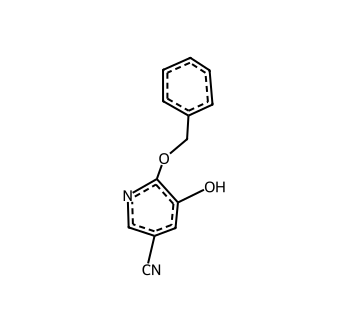 N#Cc1cnc(OCc2ccccc2)c(O)c1